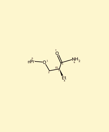 CCCOC[C@H](CC)C(N)=O